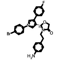 Nc1ccc(CCN2C(=O)CO[C@H]2c2cn(-c3ccc(Br)cc3)cc2-c2ccc(F)cc2)cc1